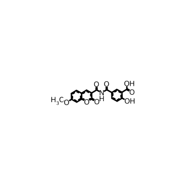 COc1ccc2cc(C(=O)NC(=O)c3ccc(O)c(C(=O)O)c3)c(=O)oc2c1